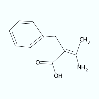 C/C(N)=C(\Cc1ccccc1)C(=O)O